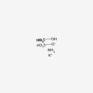 N.O=S(=O)(O)O.O=S(=O)([O-])O.P.[K+]